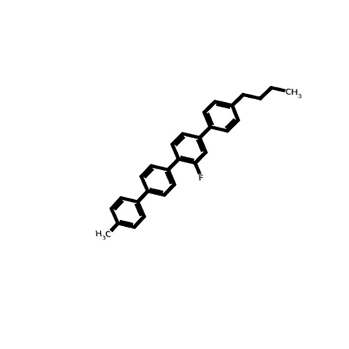 CCCCc1ccc(-c2ccc(-c3ccc(-c4ccc(C)cc4)cc3)c(F)c2)cc1